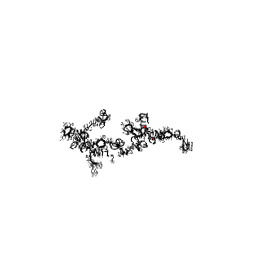 Cc1csc2c(OC(=O)N(C)CCN(C)C(=O)OCc3ccc(N(CC(=O)NC(=O)[C@H](Cc4ccccc4)NC(=O)CCCCCN4C(=O)C=CC4=O)C(=O)[C@@H](N)CC(C)C)cc3)cc3c(c12)[C@H](CCl)CN3C(=O)c1cc2cc(OCCN3CCCC3)ccc2[nH]1